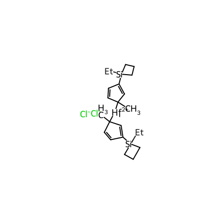 CC[Si]1(C2=C[C](C)([Hf+2][C]3(C)C=CC([Si]4(CC)CCC4)=C3)C=C2)CCC1.[Cl-].[Cl-]